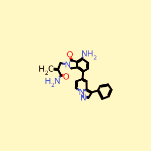 C=C(CN1Cc2c(-c3ccn4ncc(-c5ccccc5)c4c3)ccc(N)c2C1=O)C(N)=O